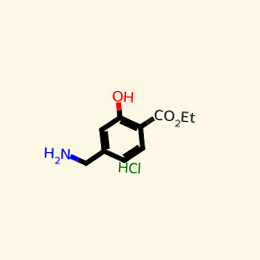 CCOC(=O)c1ccc(CN)cc1O.Cl